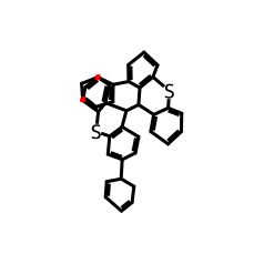 C1=CCCC(c2cccc3c2C(C2c4ccccc4Sc4cc(C5C=CC=CC5)ccc42)c2ccccc2S3)=C1